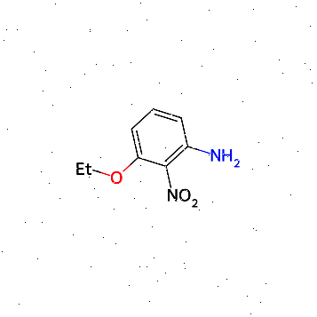 CCOc1cccc(N)c1[N+](=O)[O-]